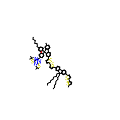 CCCCCCCCC1(CCCCCCCC)c2cc(-c3ccc(-c4ccc(C)s4)s3)ccc2-c2ccc(-c3ccc(-c4ccc(-c5ccc6c(c5)C(c5ccc(CCCCCC)cc5)(c5ccc(-c7nc(SC(C)(C)C)nc(SC(C)(C)C)n7)cc5)c5cc(C)ccc5-6)s4)s3)cc21